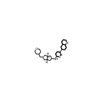 c1cnc2ccc(-c3ccc(NC4C[C@@H]5CN(CC6CCOCC6)C[C@@H]5C4)nn3)cc2c1